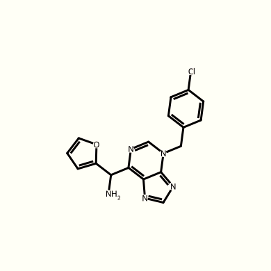 NC(c1ccco1)c1ncn(Cc2ccc(Cl)cc2)c2ncnc1-2